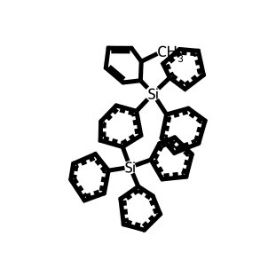 CC1C=CC=CC1[Si](c1ccccc1)(c1ccccc1)c1cccc([Si](c2ccccc2)(c2ccccc2)c2ccccc2)c1